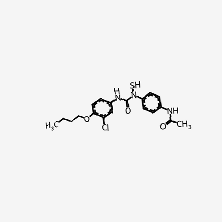 CCCCOc1ccc(NC(=O)N(S)c2ccc(NC(C)=O)cc2)cc1Cl